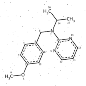 COc1ccc(CN(c2ncccn2)C(C)C)cc1